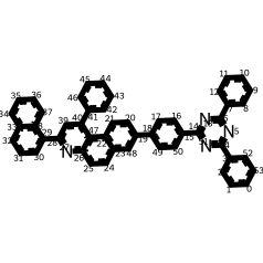 c1ccc(-c2nc(-c3ccccc3)nc(-c3ccc(-c4ccc5c(ccc6nc(-c7cccc8ccccc78)cc(-c7ccccc7)c65)c4)cc3)n2)cc1